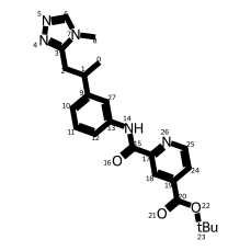 CC(Cc1nncn1C)c1cccc(NC(=O)c2cc(C(=O)OC(C)(C)C)ccn2)c1